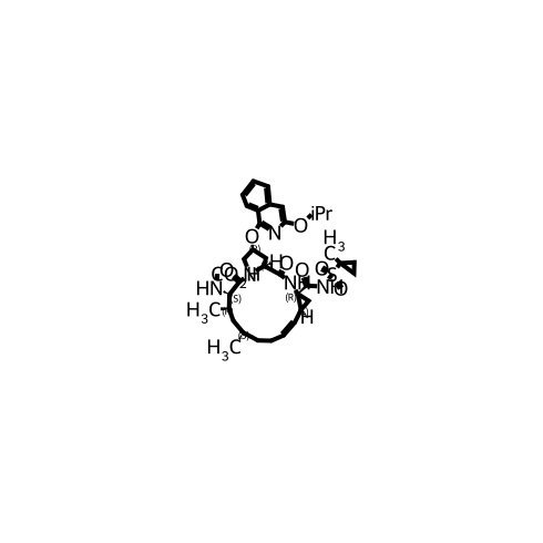 CC(C)Oc1cc2ccccc2c(O[C@@H]2C[C@H]3C(=O)N[C@]4(C(=O)NS(=O)(=O)C5(C)CC5)C[C@H]4C=CCC[C@H](C)C[C@@H](C)[C@H](NC(=O)O)C(=O)N3C2)n1